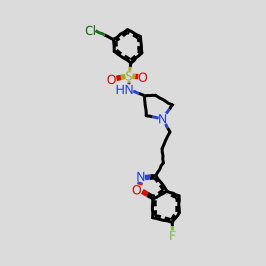 O=S(=O)(NC1CCN(CCCc2noc3cc(F)ccc23)C1)c1cccc(Cl)c1